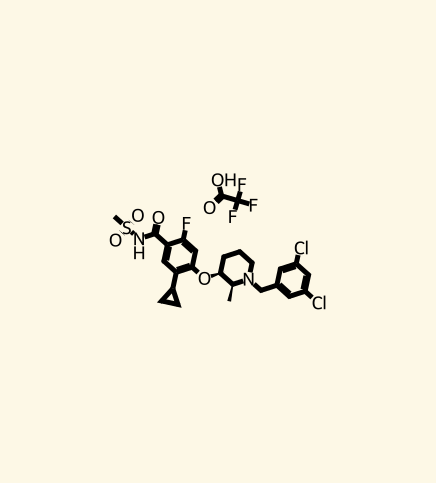 C[C@H]1[C@@H](Oc2cc(F)c(C(=O)NS(C)(=O)=O)cc2C2CC2)CCCN1Cc1cc(Cl)cc(Cl)c1.O=C(O)C(F)(F)F